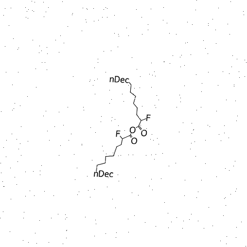 CCCCCCCCCCCCCCCCC(F)C(=O)OC(=O)C(F)CCCCCCCCCCCCCCCC